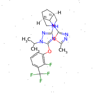 Cc1nnc(N2C[C@H]3CC[C@@H](C2)C3Nc2nc(Oc3cccc(C(F)(F)F)c3F)n(C(C)C)n2)o1